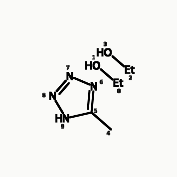 CCO.CCO.Cc1nnn[nH]1